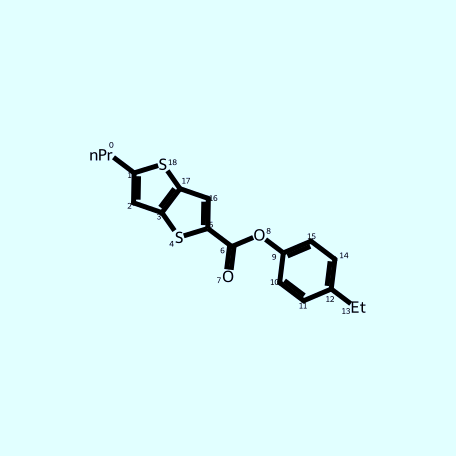 CCCc1cc2sc(C(=O)Oc3ccc(CC)cc3)cc2s1